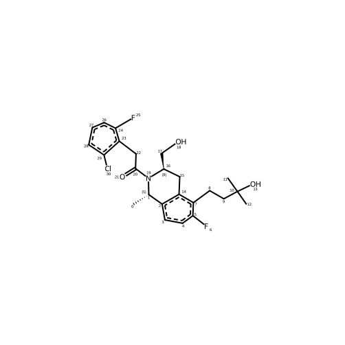 C[C@H]1c2ccc(F)c(CCC(C)(C)O)c2C[C@H](CO)N1C(=O)Cc1c(F)cccc1Cl